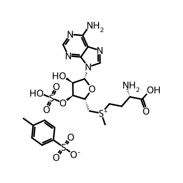 C[S+](CC[C@H](N)C(=O)O)C[C@H]1O[C@@H](n2cnc3c(N)ncnc32)[C@H](O)[C@@H]1OS(=O)(=O)O.Cc1ccc(S(=O)(=O)[O-])cc1